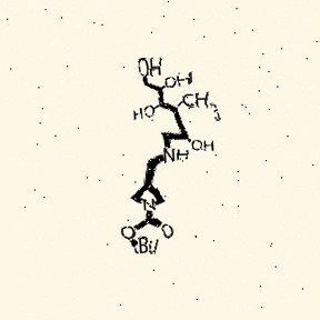 C[C@@H]([C@H](O)[C@H](O)CO)[C@@H](O)CNCC1CN(C(=O)OC(C)(C)C)C1